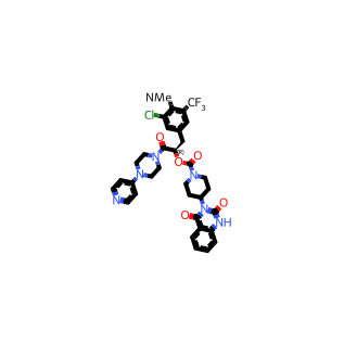 CNc1c(Cl)cc(C[C@@H](OC(=O)N2CCC(n3c(=O)[nH]c4ccccc4c3=O)CC2)C(=O)N2CCN(c3ccncc3)CC2)cc1C(F)(F)F